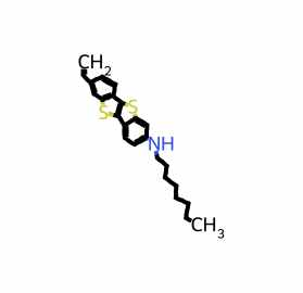 C=Cc1ccc2c(c1)sc1c3ccc(NCCCCCCCC)cc3sc21